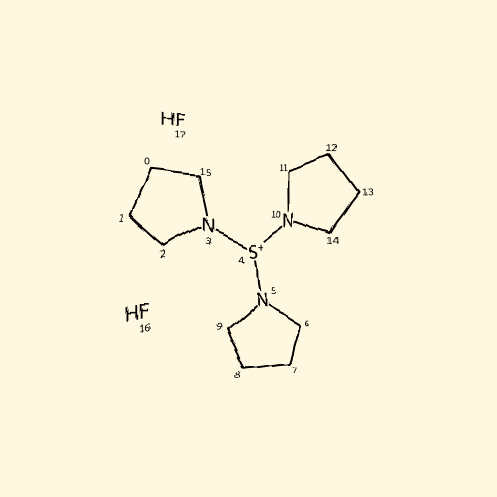 C1CCN([S+](N2CCCC2)N2CCCC2)C1.F.F